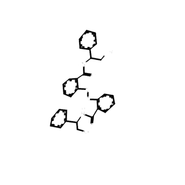 O=C(NC(CO)c1ccccc1)c1ccccc1SSc1ccccc1C(=O)NC(CO)c1ccccc1